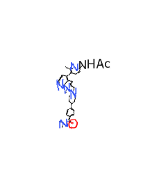 CC(=O)Nc1ccc(-c2ccnc3c2cc(CN2CCC(c4ccc(C(=O)N(C)C)cc4)CC2)n3C)c(C)n1